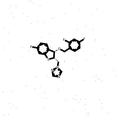 Fc1ccc(CO[C@H]2c3ccc(F)cc3S[C@H]2Cn2cncn2)c(F)c1